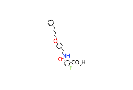 O=C(NCCc1ccc(OCCCCCc2ccccc2)cc1)c1ccc(F)c(C(=O)O)c1